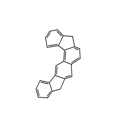 c1ccc2c(c1)Cc1cc3ccc4c(c3cc1-2)-c1ccccc1C4